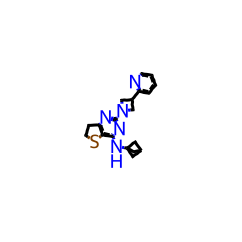 c1ccc(C2CN(c3nc4c(c(NC56CC(C5)C6)n3)SCC4)C2)nc1